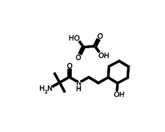 CC(C)(N)C(=O)NCCC1CCCCC1O.O=C(O)C(=O)O